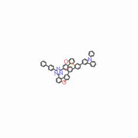 c1ccc(-c2ccc(-c3nc(-c4ccc5c(c4)oc4ccccc45)nc(-c4cccc5oc6ccc(-c7ccc8sc9cc(-c%10ccc%11c(c%10)c%10ccccc%10n%11-c%10ccccc%10)ccc9c8c7)cc6c45)n3)cc2)cc1